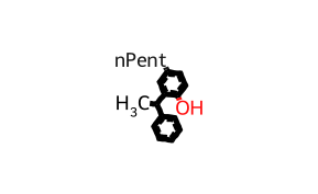 CCCCCc1ccc(O)c(C(C)c2ccccc2)c1